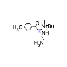 Cc1ccc(C(=O)/C=C(/NCCN)NC(C)(C)C)cc1